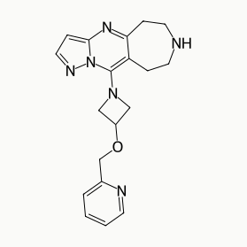 c1ccc(COC2CN(c3c4c(nc5ccnn35)CCNCC4)C2)nc1